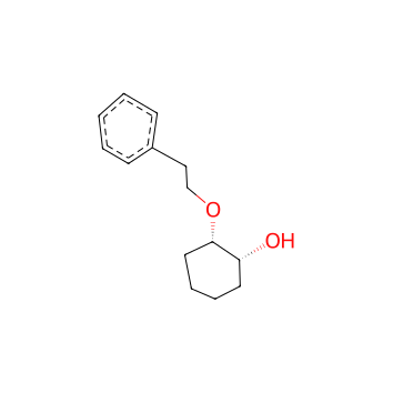 O[C@@H]1CCCC[C@@H]1OCCc1ccccc1